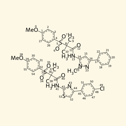 COc1ccc(S(=O)(=O)C(C)(C)C(=O)Nc2cc(-c3ccccc3)nn2C)cc1.COc1ccc(S(=O)(=O)C(C)(C)C(=O)Nc2nc(-c3ccc(Cl)cc3)cs2)cc1